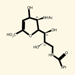 CCCC(=O)NC[C@H](O)[C@H](O)C1OC(C(=O)O)=CC(O)[C@H]1NC(C)=O